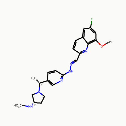 CC(C)Oc1cc(F)cc2ccc(C=NNc3ccc([C@@H](N4CC[C@H](NC(=O)O)C4)C(F)(F)F)cn3)nc12